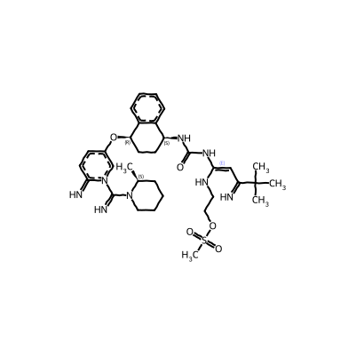 C[C@H]1CCCCN1C(=N)n1cc(O[C@@H]2CC[C@H](NC(=O)N/C(=C/C(=N)C(C)(C)C)NCCOS(C)(=O)=O)c3ccccc32)ccc1=N